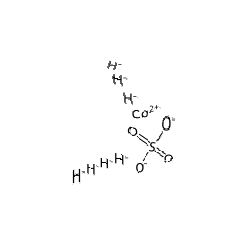 O=S(=O)([O-])[O-].[Co+2].[H-].[H-].[H-].[H-].[H-].[H-].[H-]